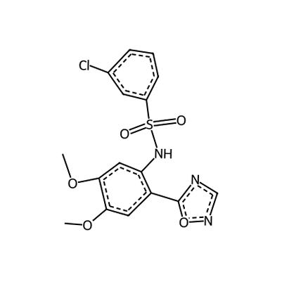 COc1cc(NS(=O)(=O)c2cccc(Cl)c2)c(-c2ncno2)cc1OC